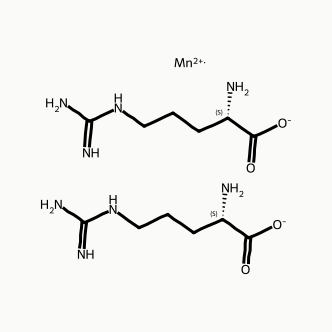 N=C(N)NCCC[C@H](N)C(=O)[O-].N=C(N)NCCC[C@H](N)C(=O)[O-].[Mn+2]